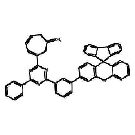 C=C1CC=CC=C(c2nc(-c3ccccc3)nc(-c3cccc(-c4ccc5c(c4)Sc4ccccc4C54c5ccccc5-c5ccccc54)c3)n2)C1